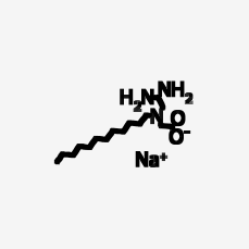 CCCCCCCCCCCCN(CC(=O)[O-])CC(N)N.[Na+]